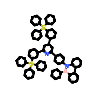 c1ccc(B2c3ccccc3-c3ccccc3N2c2ccc(-c3cc(-c4cccc(S(c5ccccc5)(c5ccccc5)c5ccccc5)c4)cc(-c4cccc(S(c5ccccc5)(c5ccccc5)c5ccccc5)c4)n3)cc2)cc1